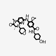 COc1cc(C(=O)NC2CCC(O)CC2)ccc1Nc1ccc2c(n1)N(C1CCOCC1)[C@H](C)C(=O)N2C